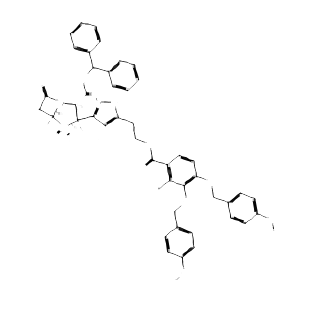 COc1ccc(COc2ccc(C(=O)OCCc3cc([C@@]4(C)[C@H](C(=O)OC(c5ccccc5)c5ccccc5)N5C(=O)C[C@H]5S4(=O)=O)no3)c(Cl)c2OCc2ccc(OC)cc2)cc1